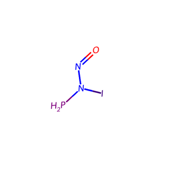 O=NN(P)I